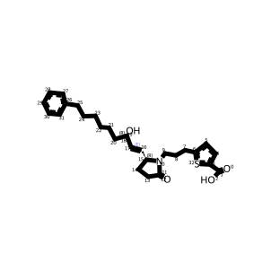 O=C(O)c1ccc(CCCN2C(=O)CC[C@@H]2/C=C/[C@H](O)CCCCCCc2ccccc2)s1